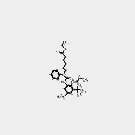 CCOC(=O)CCCCCN(C(=O)Nc1cc(OC)cc(C(C)(C)C)c1OCOC)c1ccccc1